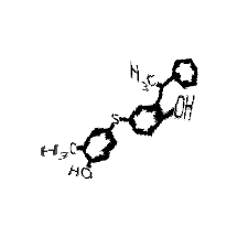 Cc1cc(Sc2ccc(O)c(C(C)c3ccccc3)c2)ccc1O